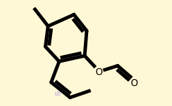 C/C=C\c1cc(C)ccc1OC=O